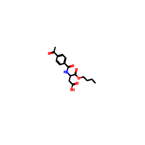 CCCCOC(=O)C(CC(=O)O)NC(=O)c1ccc(C(C)=O)cc1